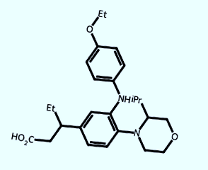 CCOc1ccc(Nc2cc(C(CC)CC(=O)O)ccc2N2CCOCC2C(C)C)cc1